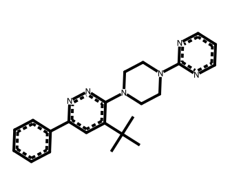 CC(C)(C)c1cc(-c2ccccc2)nnc1N1CCN(c2ncccn2)CC1